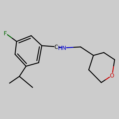 CC(C)c1cc(F)cc(CNCC2CCOCC2)c1